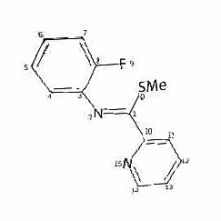 CSC(=Nc1ccccc1F)c1ccccn1